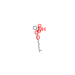 CC(C)CCCCCCCOCCOC(=O)C1CCCCC1C(=O)O